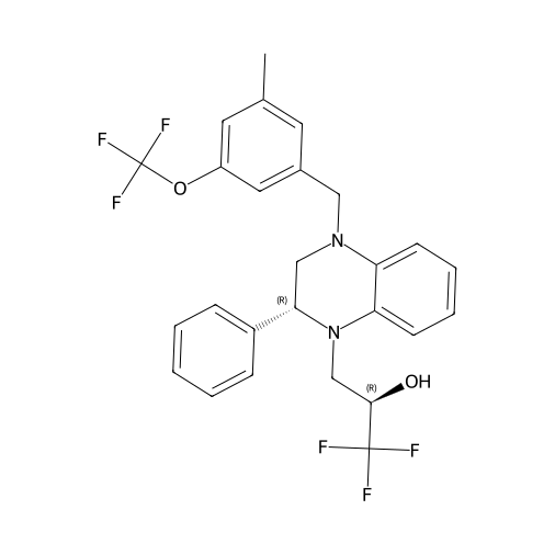 Cc1cc(CN2C[C@@H](c3ccccc3)N(C[C@@H](O)C(F)(F)F)c3ccccc32)cc(OC(F)(F)F)c1